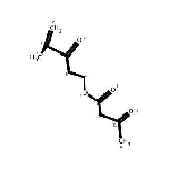 C=C(C)C(=O)CCOC(=O)CC(C)=O